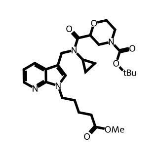 COC(=O)CCCCn1cc(CN(C(=O)C2CN(C(=O)OC(C)(C)C)CCO2)C2CC2)c2cccnc21